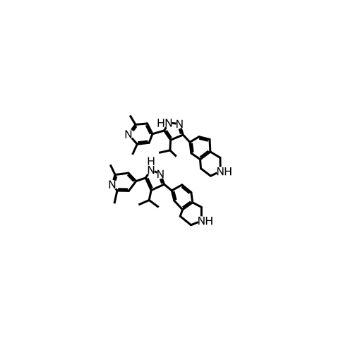 Cc1cc(-c2[nH]nc(-c3ccc4c(c3)CCNC4)c2C(C)C)cc(C)n1.Cc1cc(-c2[nH]nc(-c3ccc4c(c3)CCNC4)c2C(C)C)cc(C)n1